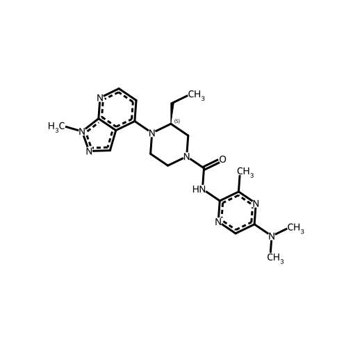 CC[C@H]1CN(C(=O)Nc2ncc(N(C)C)nc2C)CCN1c1ccnc2c1cnn2C